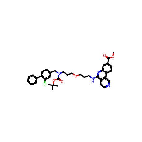 COC(=O)c1ccc2c(c1)nc(NCCCOCCCN(Cc1ccc(-c3ccccc3)c(Cl)c1)C(=O)OC(C)(C)C)c1ccncc12